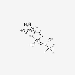 CC1(C(=O)Oc2ccc([C@@](C)(N)C(=O)O)cc2O)CC1